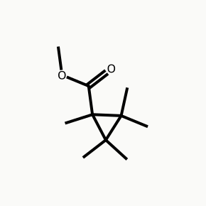 COC(=O)C1(C)C(C)(C)C1(C)C